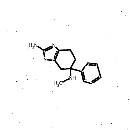 CNC1(c2ccccc2)CCc2nc(N)sc2C1